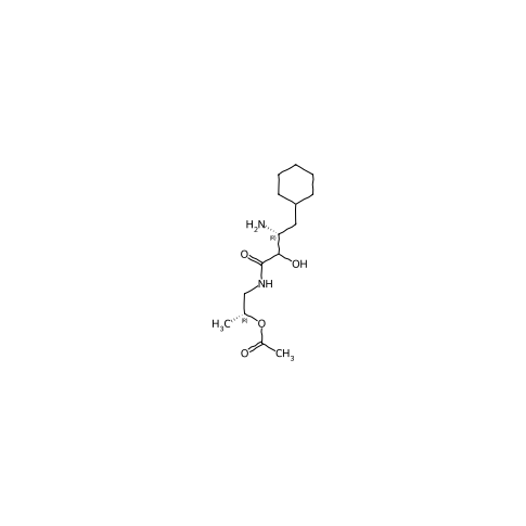 CC(=O)O[C@H](C)CNC(=O)C(O)[C@H](N)CC1CCCCC1